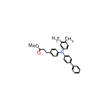 COC(=O)CCc1ccc(N(c2ccc(-c3ccccc3)cc2)c2ccc(C)c(C)c2)cc1